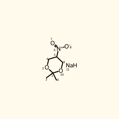 CC1(C)OCC([N+](=O)[O-])CO1.[NaH]